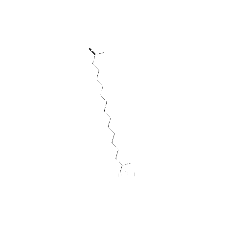 C=C(C)CCCCCCCCCCCCCC(C)CCCCCCCC